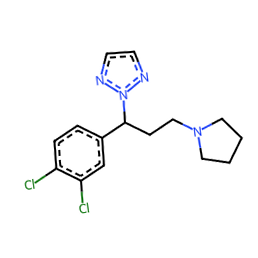 Clc1ccc(C(CCN2CCCC2)n2nccn2)cc1Cl